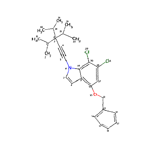 CC(C)[Si](C#Cn1ccc2c(OCc3ccccc3)cc(Cl)c(Cl)c21)(C(C)C)C(C)C